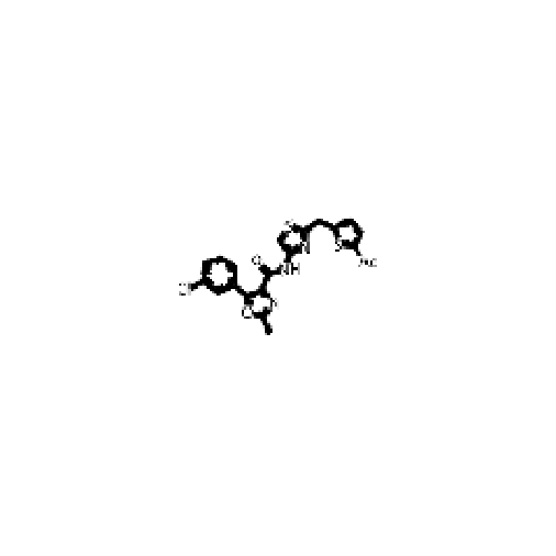 CC(=O)c1ccc(Cc2nc(NC(=O)c3nc(C)oc3-c3cccc(Cl)c3)cs2)s1